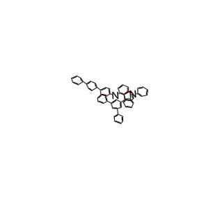 c1ccc(-c2ccc(-c3ccc(N(c4c(-c5ccccc5)cc(-c5ccccc5)cc4-c4ccccc4)c4cccc5c4c4ccccc4n5-c4ccccc4)cc3)cc2)cc1